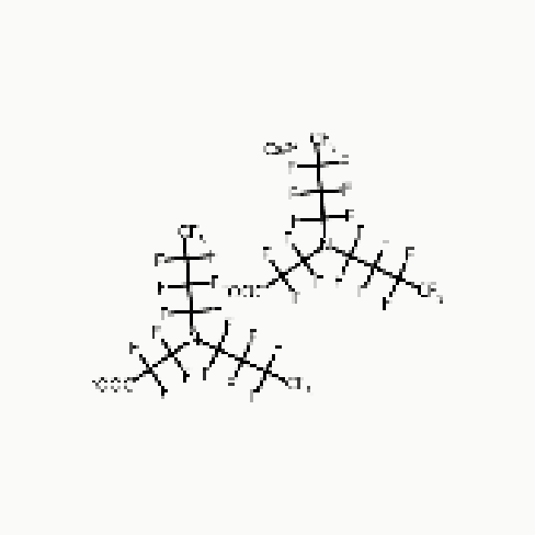 O=C([O-])C(F)(F)C(F)(F)N(C(F)(F)C(F)(F)C(F)(F)C(F)(F)F)C(F)(F)C(F)(F)C(F)(F)C(F)(F)F.O=C([O-])C(F)(F)C(F)(F)N(C(F)(F)C(F)(F)C(F)(F)C(F)(F)F)C(F)(F)C(F)(F)C(F)(F)C(F)(F)F.[Ca+2]